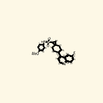 COc1ccc(NS(=O)(=O)C2CC23CCC(c2ccnc4ccc(F)cc24)CC3)cc1